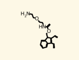 C=CC1=C(C=C)C(COC(=C)NCCOCCN)c2ccccc21